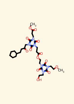 COCCn1c(=O)n(CCO)c(=O)n(CCOC(=O)CCn2c(=O)n(CCC(=O)OC)c(=O)n(CC(=O)CCC3CCCCC3)c2=O)c1=O